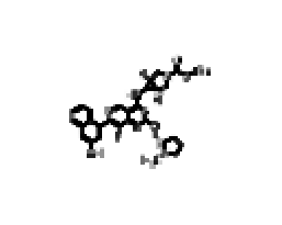 CN1CCC[C@H]1COc1nc(NC2[C@@H]3CN(C(=O)OC(C)(C)C)C[C@@H]23)c2cnc(-c3cc(O)cc4ccccc34)c(F)c2n1